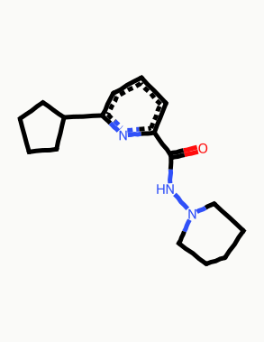 O=C(NN1CCCCC1)c1cccc(C2CCCC2)n1